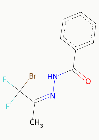 CC(=NNC(=O)c1ccccc1)C(F)(F)Br